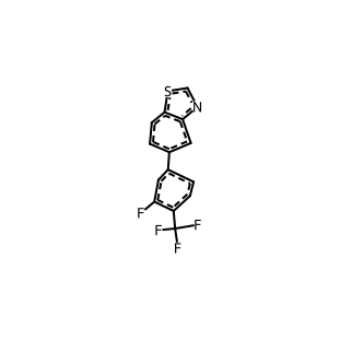 Fc1cc(-c2ccc3scnc3c2)ccc1C(F)(F)F